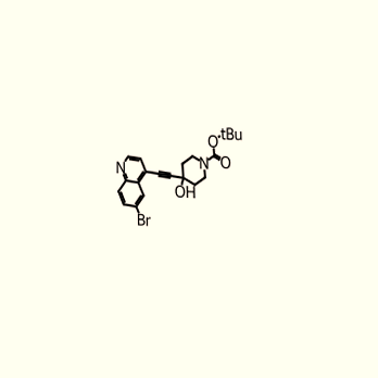 CC(C)(C)OC(=O)N1CCC(O)(C#Cc2ccnc3ccc(Br)cc23)CC1